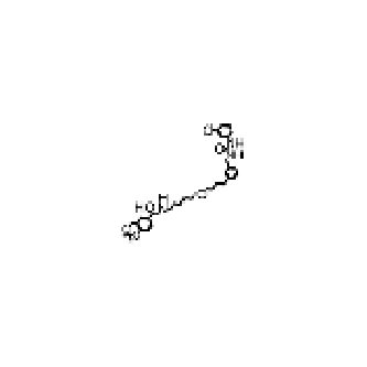 CC1(C)OCc2cc([C@H](O)CNCCCCCCOCCCCc3cccc(CNC(=O)Nc4cccc(Cl)c4)c3)ccc2O1